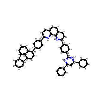 c1ccc(-c2cc(-c3ccccc3)nc(-c3ccc(-c4ccc5ccc6ccc(-c7ccc(-c8ccc9c%10c(cccc8%10)-c8ccccc8-9)cc7)nc6c5n4)cc3)n2)cc1